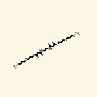 COCCCOCCCOC(=O)CC(=O)NCCNC(=O)CC(=O)OCCCOCCCOC